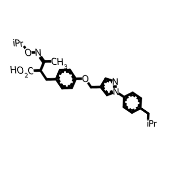 C/C(=N/OC(C)C)C(Cc1ccc(OCc2cnn(-c3ccc(CC(C)C)cc3)c2)cc1)C(=O)O